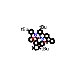 CC(C)(C)c1ccc(N2B3c4c(cc(C(C)(C)C)cc4N(c4ccc(C(C)(C)C)cc4-c4ccccc4)c4oc5cc6c(cc5c43)C(C)(C)CCC6(C)C)-c3ccc4c(c32)C(C)(C)c2ccccc2-4)cc1